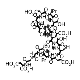 CC[C@H](C)[C@H](NC(=O)[C@@H](NC(=O)[C@H](CCC(=O)O)NC(=O)[C@H](CS)NC(=O)[C@@H](NC(=O)[C@H](CCC(=O)O)NC(=O)[C@H](CC(C)C)NC(=O)[C@@H](NC(=O)[C@@H](NC(=O)[C@H](CC(=O)O)NC(=O)[C@H](CC(=O)O)NC(=O)[C@@H](N)CC(=O)O)C(C)C)[C@@H](C)O)[C@@H](C)O)C(C)C)C(=O)NCC(=O)NCC(=O)N[C@@H](CC(=O)O)C(=O)O